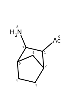 CC(=O)C1C2CCC(C2)C1N